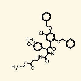 CCOC(=O)CCNC(=O)c1noc(-c2cc(Cl)c(OCc3ccccc3)cc2OCc2ccccc2)c1-c1ccc(OC)cc1